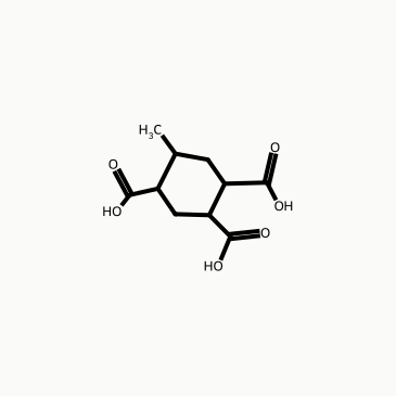 CC1CC(C(=O)O)C(C(=O)O)CC1C(=O)O